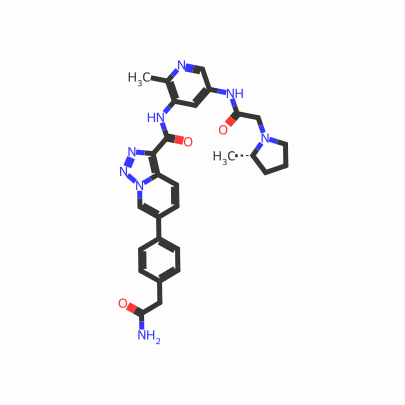 Cc1ncc(NC(=O)CN2CCC[C@@H]2C)cc1NC(=O)c1nnn2cc(-c3ccc(CC(N)=O)cc3)ccc12